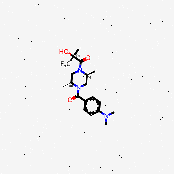 C[C@@H]1CN(C(=O)[C@@](C)(O)C(F)(F)F)[C@@H](C)CN1C(=O)c1ccc(N(C)C)cc1